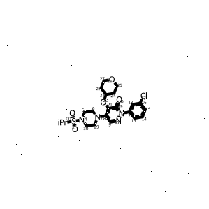 CC(C)S(=O)(=O)N1CCN(c2cnn(-c3cccc(Cl)c3)c(=O)c2OC2CCOCC2)CC1